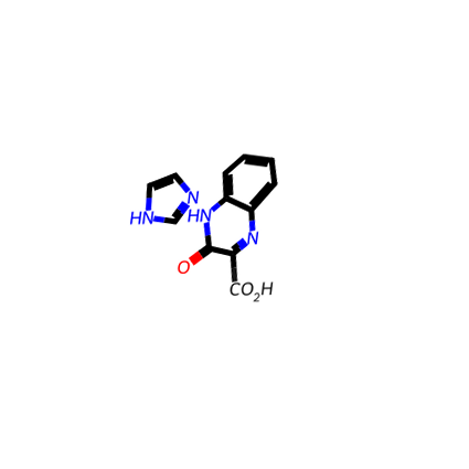 O=C(O)c1nc2ccccc2[nH]c1=O.c1c[nH]cn1